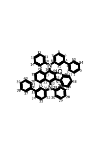 c1ccc(-c2cccc(N(c3ccccc3)c3c4ccccc4c(N(c4ccccc4)c4cccc(-c5ccccc5)c4)c4c3oc3ccccc34)c2)cc1